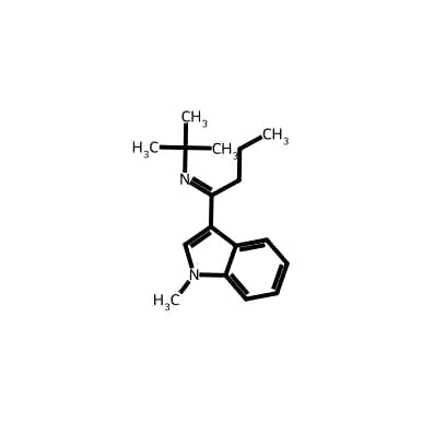 CCC/C(=N\C(C)(C)C)c1cn(C)c2ccccc12